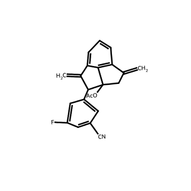 C=C1CC2(OC(C)=O)c3c1cccc3C(=C)C2c1cc(F)cc(C#N)c1